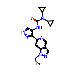 CC(C)Cn1ncc2cnc(-c3n[nH]cc3NC(=O)N(C3CC3)C3CC3)cc21